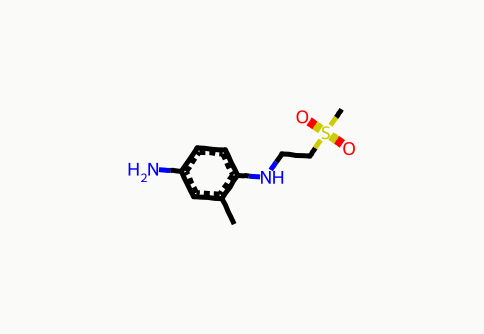 Cc1cc(N)ccc1NCCS(C)(=O)=O